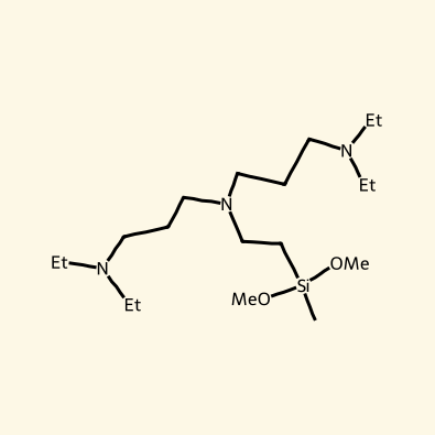 CCN(CC)CCCN(CCCN(CC)CC)CC[Si](C)(OC)OC